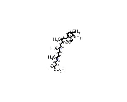 CCCCOC1C(CCC(C)CC/C=C(\C)CCC/C(C)=C/CCC(C)C(=O)O)=CC=C(C)C1C